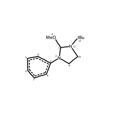 COC1N(c2ccccc2)CCN1C(C)(C)C